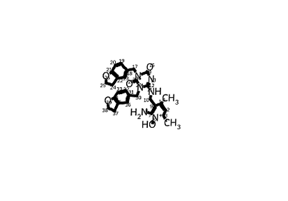 Cc1cc(C)[n+](O)c(N)c1CNc1nc(=O)n(Cc2ccc3c(c2)CCO3)c(=O)n1Cc1ccc2c(c1)CCO2